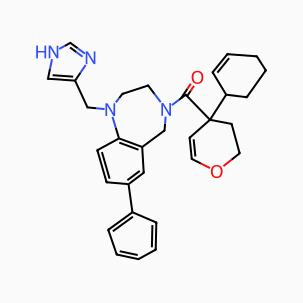 O=C(N1CCN(Cc2c[nH]cn2)c2ccc(-c3ccccc3)cc2C1)C1(C2C=CCCC2)C=COCC1